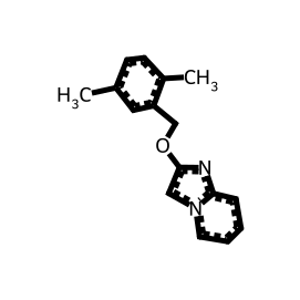 Cc1ccc(C)c(COc2cn3ccccc3n2)c1